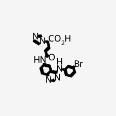 O=C(C=CC(C(=O)O)n1ccnc1)Nc1ccc2ncnc(Nc3cccc(Br)c3)c2c1